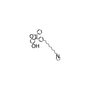 Oc1ccc2c(c1)[C@@H](c1ccc(CCCCCCCCCN3CCCC3)cc1)[C@@H](c1ccccc1)CO2